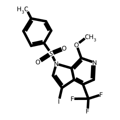 COc1ncc(C(F)(F)F)c2c(I)cn(S(=O)(=O)c3ccc(C)cc3)c12